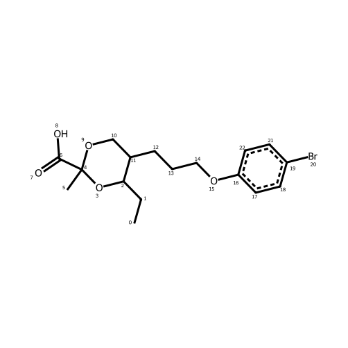 CCC1OC(C)(C(=O)O)OCC1CCCOc1ccc(Br)cc1